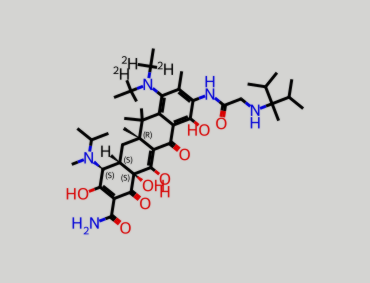 [2H]C([2H])(C)N(c1c(C)c(NC(=O)CNC(C)(C(C)C)C(C)C)c(O)c2c1C(C)(C)[C@@]1(C)C[C@H]3[C@H](N(C)C(C)C)C(O)=C(C(N)=O)C(=O)[C@@]3(O)C(O)=C1C2=O)C([2H])(C)C